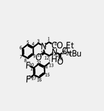 CCOC(=O)CN(Cc1ccccc1)C(=O)[C@@H](Cc1ccc(F)c(F)c1)NC(=O)OC(C)(C)C